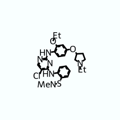 CCOc1cc(OC2CCN(CC)C2)ccc1Nc1ncc(Cl)c(Nc2ccccc2SNC)n1